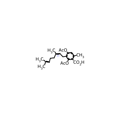 CC(=O)Oc1cc(C)c(C(=O)O)c(OC(C)=O)c1C/C=C(/C)CCC=C(C)C